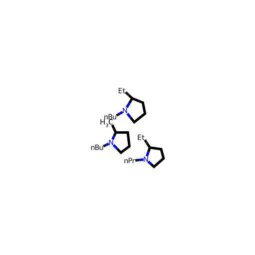 CCCCN1CCCC1C.CCCCN1CCCC1CC.CCCN1CCCC1CC